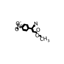 CCOC(=O)C=C(C#N)c1ccc([N+](=O)[O-])cc1